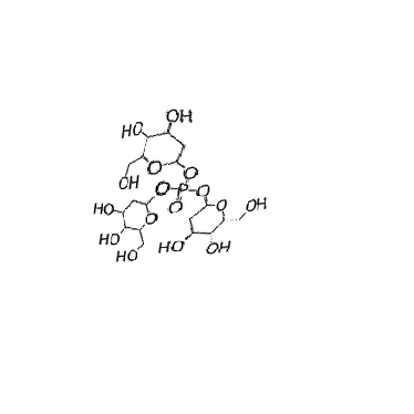 O=P(OC1CC(O)C(O)C(CO)O1)(OC1CC(O)C(O)C(CO)O1)OC1C[C@H](O)[C@@H](O)[C@@H](CO)O1